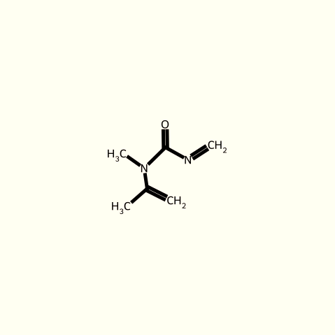 C=NC(=O)N(C)C(=C)C